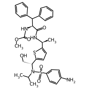 COC(=O)N[C@H](C(=O)N[C@@H](C)c1ccc([C@@H](CO)N(C(C)C)S(=O)(=O)c2ccc(N)cc2)s1)C(c1ccccc1)c1ccccc1